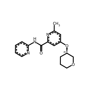 Cc1cc(O[C@@H]2CCCOC2)cc(C(=O)Nc2ccccn2)n1